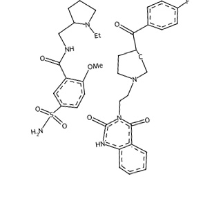 CCN1CCCC1CNC(=O)c1cc(S(N)(=O)=O)ccc1OC.O=C(c1ccc(F)cc1)C1CCN(CCn2c(=O)[nH]c3ccccc3c2=O)CC1